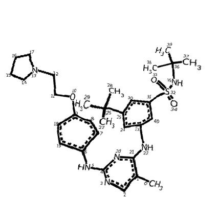 Cc1cnc(Nc2ccc(OCCN3CCCC3)cc2)nc1Nc1cc(C(C)(C)C)cc(S(=O)(=O)NC(C)(C)C)c1